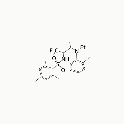 CCN(c1ccccc1C)C(C)C(NS(=O)(=O)c1c(C)cc(C)cc1C)C(F)(F)F